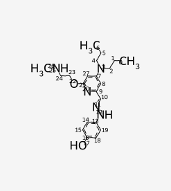 CCCN(CCC)c1cc(/C=N/Nc2ccc(O)cc2)nc(OCCNC)c1